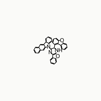 c1ccc2cc3c(cc2c1)c1ccccc1n3C1=Nc2c(oc3ccccc23)NC1c1cccc2oc3ccccc3c12